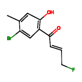 Cc1cc(O)c(C(=O)/C=C/CF)cc1Br